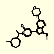 CC1=CCC=CC(C(C)n2ccc(-c3cn(SI)c4ncc(N5CCOCC5)cc34)cc2=O)=C1